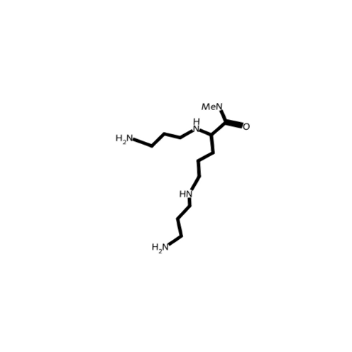 CNC(=O)C(CCCNCCCN)NCCCN